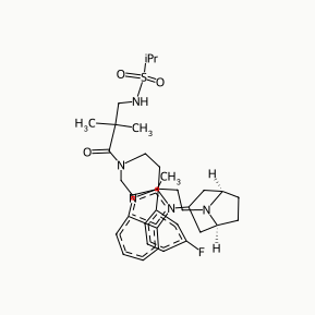 Cc1nc2ccccc2n1C1C[C@H]2CC[C@@H](C1)N2CCC1(c2cccc(F)c2)CCN(C(=O)C(C)(C)CNS(=O)(=O)C(C)C)CC1